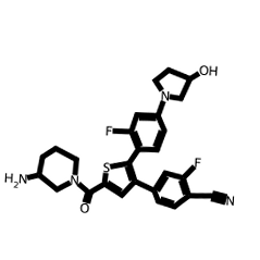 N#Cc1ccc(-c2cc(C(=O)N3CCCC(N)C3)sc2-c2ccc(N3CCC(O)C3)cc2F)cc1F